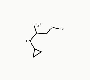 CC(C)SCC(NC1CC1)C(=O)O